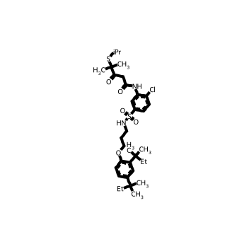 CCC(C)(C)c1ccc(OCCCNS(=O)(=O)c2ccc(Cl)c(NC(=O)CC(=O)C(C)(C)SC(C)C)c2)c(C(C)(C)CC)c1